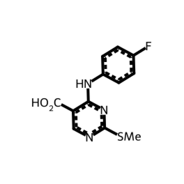 CSc1ncc(C(=O)O)c(Nc2ccc(F)cc2)n1